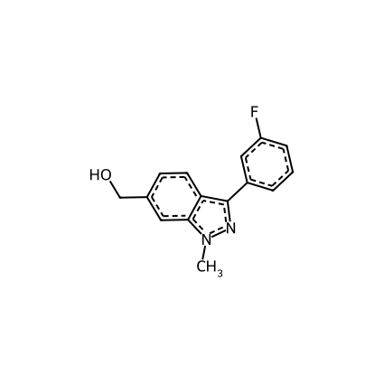 Cn1nc(-c2cccc(F)c2)c2ccc(CO)cc21